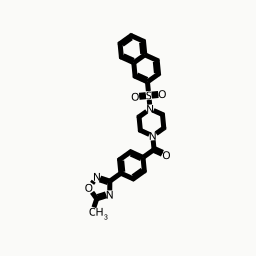 Cc1nc(-c2ccc(C(=O)N3CCN(S(=O)(=O)c4ccc5ccccc5c4)CC3)cc2)no1